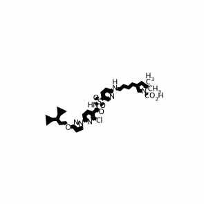 CC1(C)CC(CCCCNc2ccc(S(=O)(=O)NC(=O)c3ccc(-n4ccc(OCCC(C5CC5)C5CC5)n4)nc3Cl)cn2)CN1C(=O)O